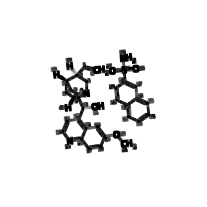 C=C[C@H]1CN2CC[C@H]1C[C@H]2[C@H](O)c1ccnc2ccc(OC)cc12.NS(=O)(=O)c1ccc2ccccc2c1